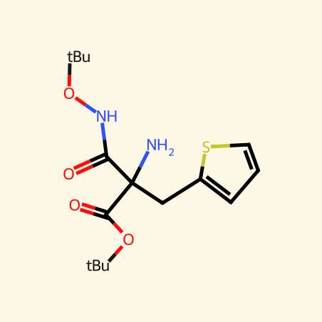 CC(C)(C)ONC(=O)C(N)(Cc1cccs1)C(=O)OC(C)(C)C